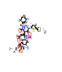 Cc1ccc(-c2nn(Cc3ccccc3)c(=O)c(C3=CS(=O)(=O)c4cc(NS(C)(=O)=O)ccc4N3)c2O)s1